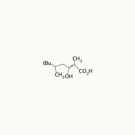 CC(C(=O)O)=C(O)CC(C)C(C)(C)C